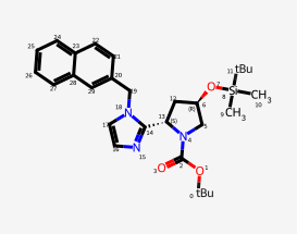 CC(C)(C)OC(=O)N1C[C@H](O[Si](C)(C)C(C)(C)C)C[C@H]1c1nccn1Cc1ccc2ccccc2c1